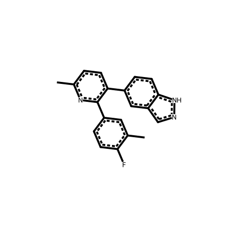 Cc1ccc(-c2ccc3[nH]ncc3c2)c(-c2ccc(F)c(C)c2)n1